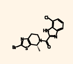 C[C@@H]1c2sc(Br)nc2CCN1C(=O)c1nc2cccc(Cl)c2[nH]1